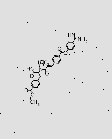 CCOC(=O)c1ccc(C[C@@H](C(=O)O)N(CC)C(=O)/C(C)=C/c2ccc(C(=O)Oc3ccc(C(=N)N)cc3)cc2)cc1